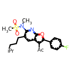 CC(=O)c1c(-c2ccc(F)cc2)oc2nc(N(C)S(C)(=O)=O)c(CCCC(C)C)cc12